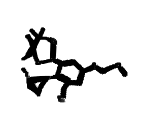 COCOc1cc(Cl)c([C@@H]2C[C@@H]2C)c(B2OC(C)(C)C(C)(C)O2)c1